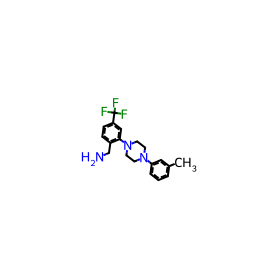 Cc1cccc(N2CCN(c3cc(C(F)(F)F)ccc3CN)CC2)c1